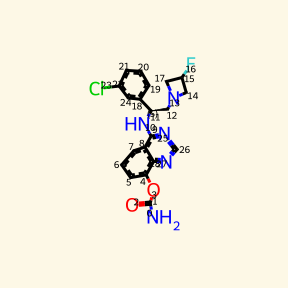 NC(=O)Oc1cccc2c(N[C@H](CN3CC(F)C3)c3cccc(Cl)c3)ncnc12